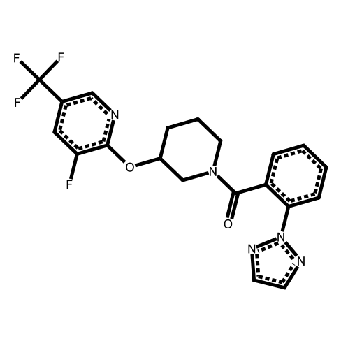 O=C(c1ccccc1-n1nccn1)N1CCCC(Oc2ncc(C(F)(F)F)cc2F)C1